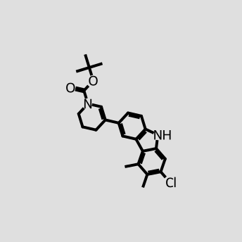 Cc1c(Cl)cc2[nH]c3ccc(C4=CN(C(=O)OC(C)(C)C)CCC4)cc3c2c1C